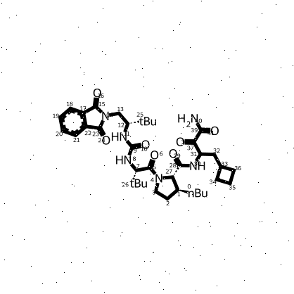 CCCC[C@H]1CCN(C(=O)[C@@H](NC(=O)N[C@H](CN2C(=O)c3ccccc3C2=O)C(C)(C)C)C(C)(C)C)[C@@H]1C(=O)NC(CC1CCC1)C(=O)C(N)=O